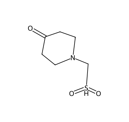 O=C1CCN(C[SH](=O)=O)CC1